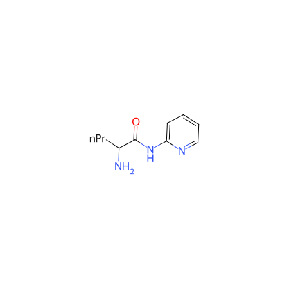 CCCC(N)C(=O)Nc1ccccn1